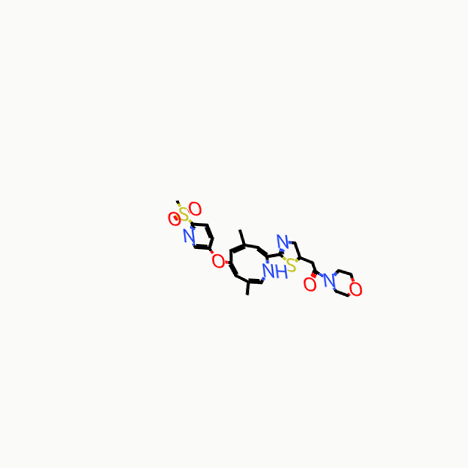 Cc1c[nH]c(C2=NCC(CC(=O)N3CCOCC3)S2)cc(C)cc(Oc2ccc(S(C)(=O)=O)nc2)c1